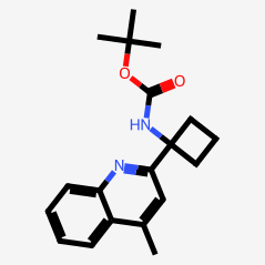 Cc1cc(C2(NC(=O)OC(C)(C)C)CCC2)nc2ccccc12